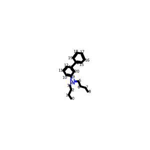 CCCCN(CCCC)c1cccc(-c2ccccc2)c1